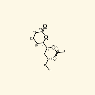 CCCCC(OC(C)=O)C1CCCC(=O)O1